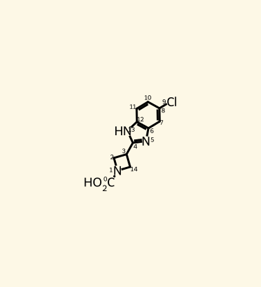 O=C(O)N1CC(c2nc3cc(Cl)ccc3[nH]2)C1